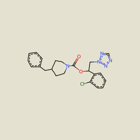 O=C(OC(Cn1ncnn1)c1ccccc1Cl)N1CCC(Cc2ccccc2)CC1